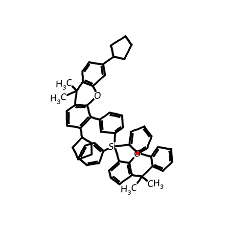 CC1(C)c2ccccc2Oc2c1cccc2[Si](c1ccccc1)(c1ccccc1)c1cccc(-c2c(C3CCCC3)ccc3c2Oc2cc(C4CCCC4)ccc2C3(C)C)c1